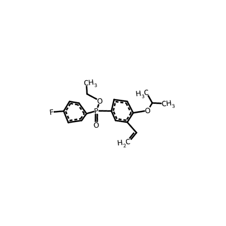 C=Cc1cc(P(=O)(OCC)c2ccc(F)cc2)ccc1OC(C)C